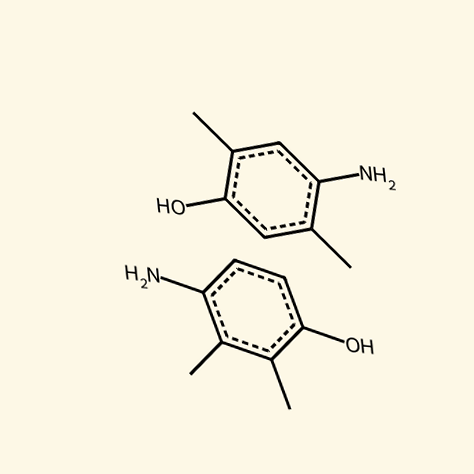 Cc1c(N)ccc(O)c1C.Cc1cc(O)c(C)cc1N